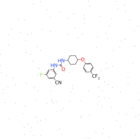 N#Cc1cc(F)cc(NC(=O)NC2CCC(Oc3ccc(C(F)(F)F)cc3)CC2)c1